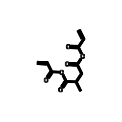 C=CC(=O)OC(=O)CC(C)C(=O)OC(=O)C=C